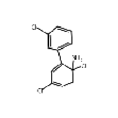 NC1(Cl)CC=C(Cl)C=C1c1cccc(Cl)c1